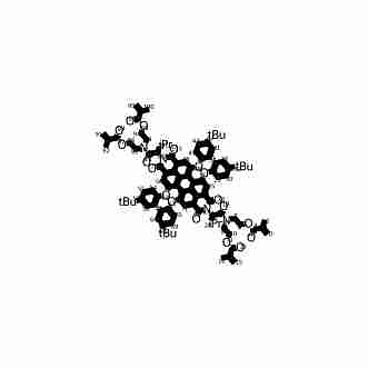 C=C(C)C(=O)OCCN(CCOC(=O)C(=C)C)C(=O)C(C(C)C)N1C(=O)c2cc(Oc3ccc(C(C)(C)C)cc3)c3c4c(Oc5ccc(C(C)(C)C)cc5)cc5c6c(cc(Oc7ccc(C(C)(C)C)cc7)c(c7c(Oc8ccc(C(C)(C)C)cc8)cc(c2c37)C1=O)c64)C(=O)N(C(C(=O)N(CCOC(=O)C(=C)C)CCOC(=O)C(=C)C)C(C)C)C5=O